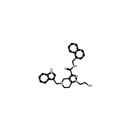 O=C(NCc1cccc2ccccc12)c1nn(CCO)c2c1CN(Cc1c[nH]c3ccccc13)CC2